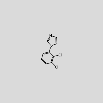 Clc1cccc(-n2[c]ncc2)c1Cl